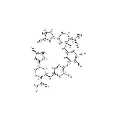 COC(=O)N1CC[C@@H](c2cc(=O)[nH]o2)C[C@H]1Cc1ccc(F)c(F)c1.C[C@@]1(Cc2ccc(F)c(F)c2)C[C@H](c2cc(=O)[nH]o2)CCN1C(=O)O